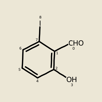 O=Cc1c(O)cccc1I